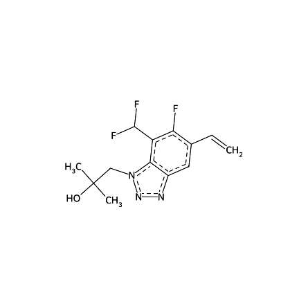 C=Cc1cc2nnn(CC(C)(C)O)c2c(C(F)F)c1F